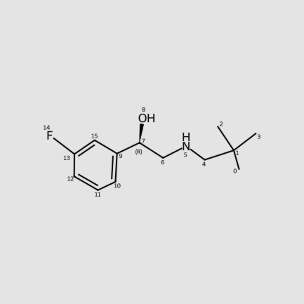 CC(C)(C)CNC[C@H](O)c1cccc(F)c1